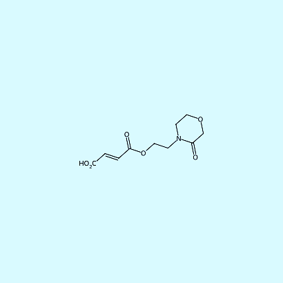 O=C(O)C=CC(=O)OCCN1CCOCC1=O